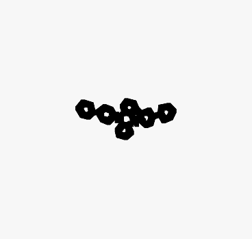 c1ccc(-c2ccc(N3c4ccccc4-n4c5ccc(-c6ccccc6)cc5c5cccc3c54)cc2)cc1